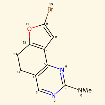 CNc1ncc2c(n1)-c1cc(Br)oc1CC2